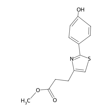 COC(=O)CCc1csc(-c2ccc(O)cc2)n1